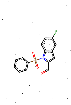 O=Cc1cc2cc(F)ccc2n1S(=O)(=O)c1ccccc1